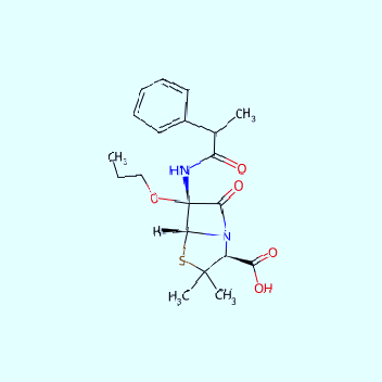 CCCO[C@]1(NC(=O)C(C)c2ccccc2)C(=O)N2[C@@H](C(=O)O)C(C)(C)S[C@@H]21